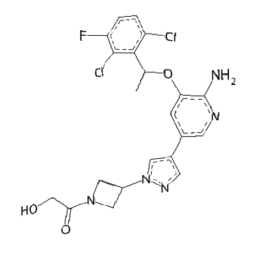 CC(Oc1cc(-c2cnn(C3CN(C(=O)CO)C3)c2)cnc1N)c1c(Cl)ccc(F)c1Cl